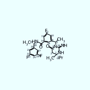 CC(C)[C@]1(C)CC(=O)N([C@H](C)c2cc(F)cc(C(=O)N[C@@H](C)c3cc(F)cc(F)c3)c2)C(=N)N1